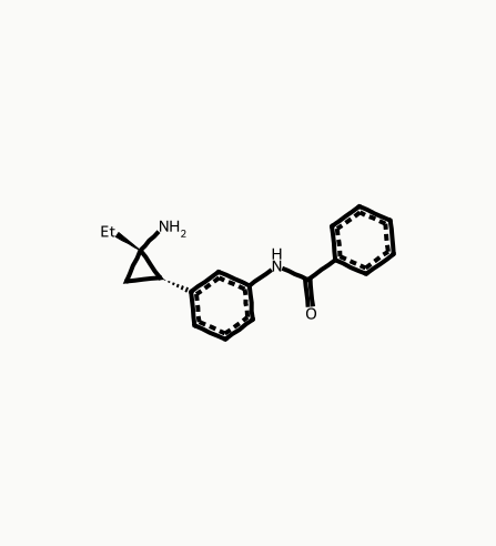 CC[C@]1(N)C[C@H]1c1cccc(NC(=O)c2ccccc2)c1